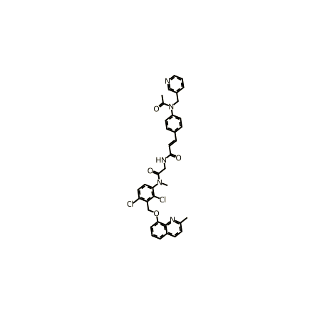 CC(=O)N(Cc1cccnc1)c1ccc(C=CC(=O)NCC(=O)N(C)c2ccc(Cl)c(COc3cccc4ccc(C)nc34)c2Cl)cc1